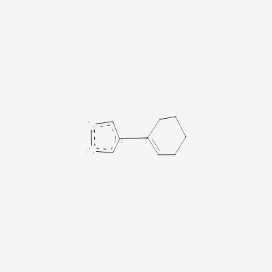 [c]1n[nH]cc1C1=CCCCC1